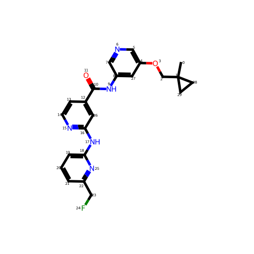 CC1(COc2cncc(NC(=O)c3ccnc(Nc4cccc(CF)n4)c3)c2)CC1